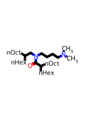 CCCCCCCCC(CCCCCC)CN(CCCCN(C)C)C(=O)C(CCCCCC)CCCCCCCC